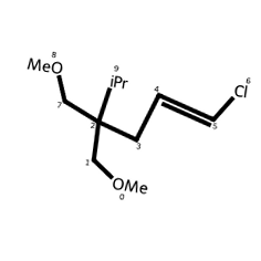 COCC(CC=CCl)(COC)C(C)C